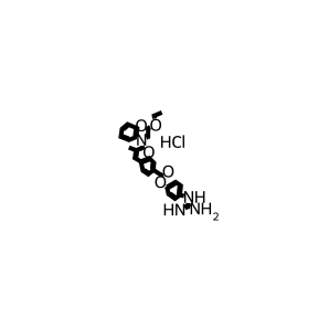 CCOC(=O)CN(C(=O)C(C)=Cc1ccc(C(=O)Oc2ccc(NC(=N)N)cc2)cc1)c1ccccc1.Cl